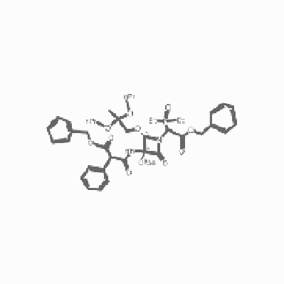 CCCOC(C)(CO[C@@H]1N(C(C(=O)OCc2ccccc2)P(=O)(CC)CC)C(=O)[C@@]1(NC(=O)C(C(=O)OCc1ccccc1)c1ccccc1)OC)OCCC